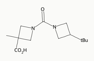 CC1(C(=O)O)CN(C(=O)N2CC(C(C)(C)C)C2)C1